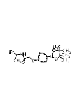 CC(C)C(C)NC(=O)COc1ccc(B2OC(C)(C)C(C)(C)O2)cc1